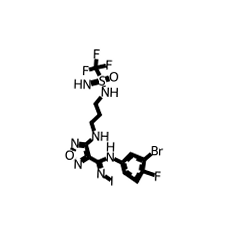 N=S(=O)(NCCCNc1nonc1/C(=N/I)Nc1ccc(F)c(Br)c1)C(F)(F)F